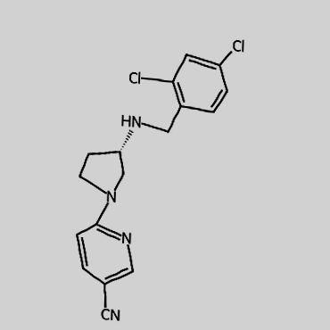 N#Cc1ccc(N2CC[C@H](NCc3ccc(Cl)cc3Cl)C2)nc1